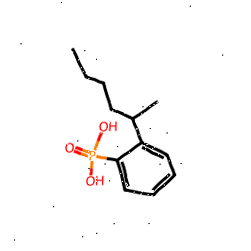 CCCCC(C)c1ccccc1P(=O)(O)O